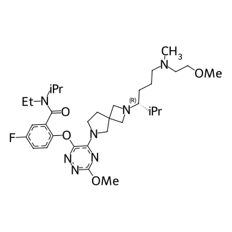 CCN(C(=O)c1cc(F)ccc1Oc1nnc(OC)nc1N1CCC2(C1)CN([C@H](CCCN(C)CCOC)C(C)C)C2)C(C)C